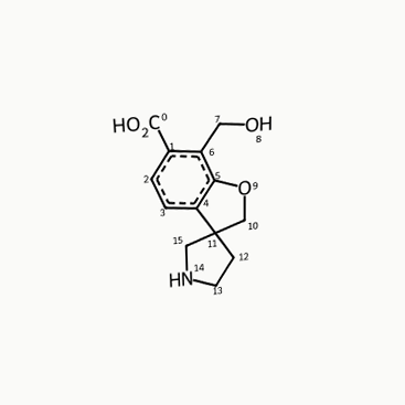 O=C(O)c1ccc2c(c1CO)OCC21CCNC1